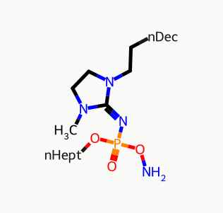 CCCCCCCCCCCCN1CCN(C)C1=NP(=O)(ON)OCCCCCCC